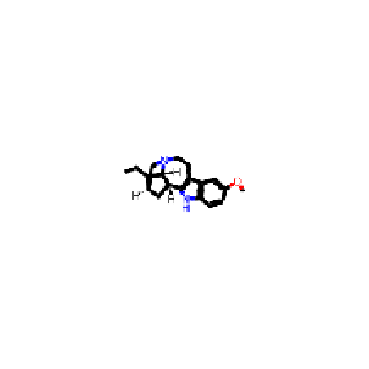 CCC1[C@@H]2C[C@H]3c4[nH]c5ccc(OC)cc5c4CCN(C2)[C@@H]13